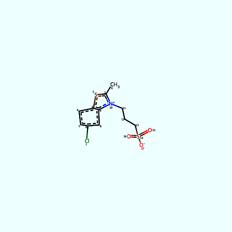 Cc1sc2ccc(Cl)cc2[n+]1CCCS(=O)(=O)[O-]